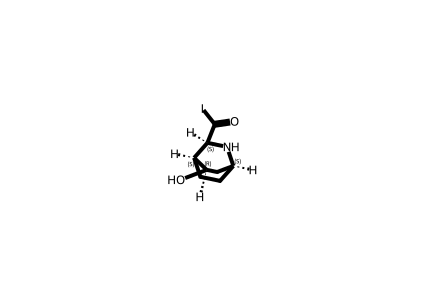 O=C(I)[C@H]1N[C@H]2CC[C@@H]1[C@H](O)C2